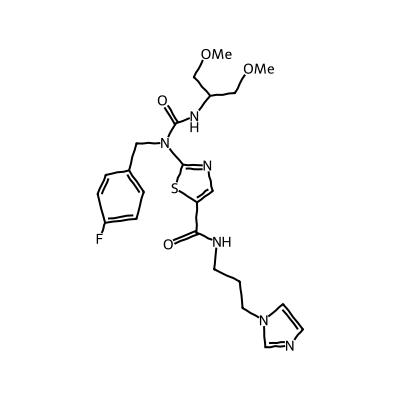 COCC(COC)NC(=O)N(Cc1ccc(F)cc1)c1ncc(C(=O)NCCCn2ccnc2)s1